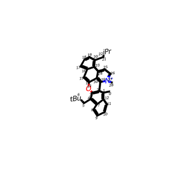 Cc1c2c(c(CC(C)(C)C)c3ccccc13)Oc1cc3cccc(CC(C)C)c3c3cc[n+](C)c-2c13